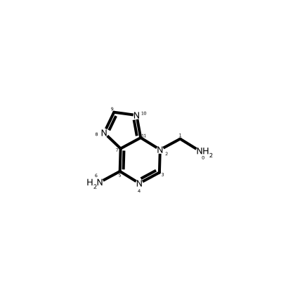 NCn1cnc(N)c2ncnc1-2